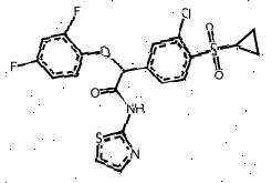 O=C(Nc1n[c]cs1)C(Oc1ccc(F)cc1F)c1ccc(S(=O)(=O)C2CC2)c(Cl)c1